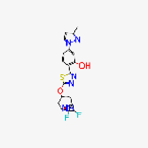 Cc1ccn(-c2ccc(-c3nnc(OC4CC5NCC6(C4)C(F)C56F)s3)c(O)c2)n1